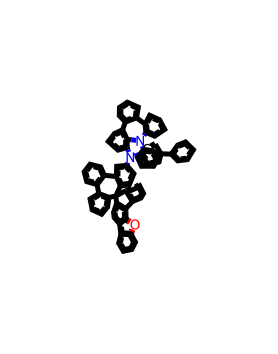 c1ccc(-c2ccc(N(c3ccc4c(c3)-c3ccccc3-c3ccccc3C43c4ccccc4-c4c3ccc3c4oc4ccccc43)c3cccc4c3N(c3ccccc3)c3ccccc3-c3ccccc3-4)cc2)cc1